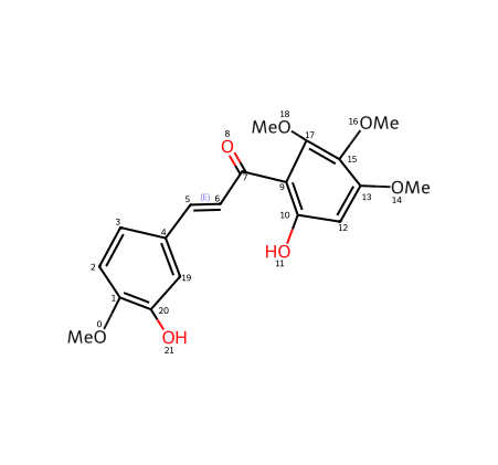 COc1ccc(/C=C/C(=O)c2c(O)cc(OC)c(OC)c2OC)cc1O